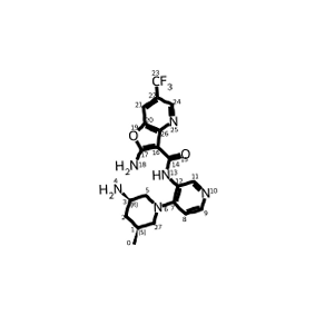 C[C@H]1C[C@@H](N)CN(c2ccncc2NC(=O)c2c(N)oc3cc(C(F)(F)F)cnc23)C1